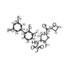 CS(=O)(=O)N[C@H]1[C@@H](F)CN(C(=O)C2CCO2)[C@H]1Cc1cccc(-c2cc(F)cc(F)c2)c1F